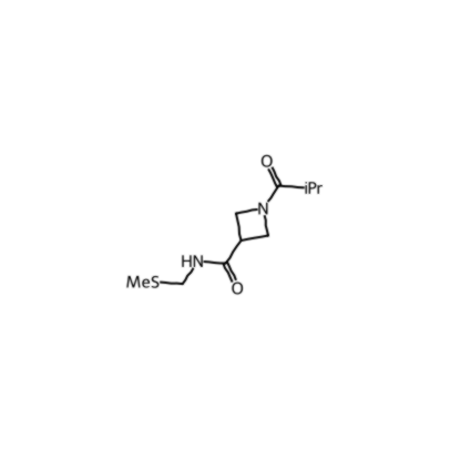 CSCNC(=O)C1CN(C(=O)C(C)C)C1